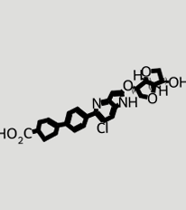 O=C(O)C1CC=C(c2ccc(-c3nc4cc(O[C@@H]5CO[C@H]6[C@@H]5OC[C@H]6O)[nH]c4cc3Cl)cc2)CC1